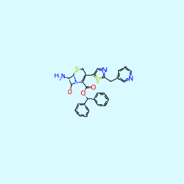 NC1C(=O)N2C(C(=O)OC(c3ccccc3)c3ccccc3)=C(c3cnc(Cc4cccnc4)s3)CSC12